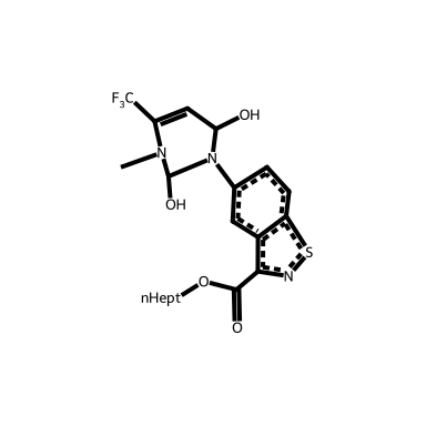 CCCCCCCOC(=O)c1nsc2ccc(N3C(O)C=C(C(F)(F)F)N(C)C3O)cc12